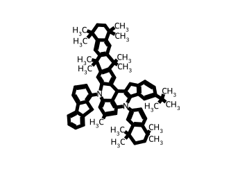 Cc1cc2c3c(c1)N(c1cccc4c1Cc1ccccc1-4)c1cc4c(cc1C3C1=C(c3cc(C(C)(C)C)ccc3C1)N2c1ccc2c(c1)C(C)(C)CCC2(C)C)C(C)(C)c1cc2c(cc1C4(C)C)C(C)(C)CCC2(C)C